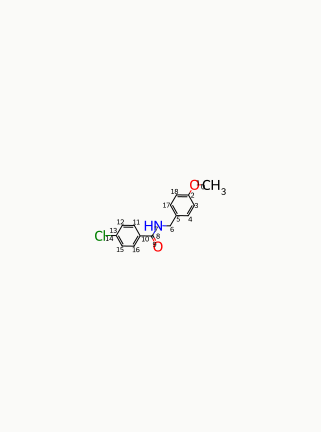 COc1ccc(CNC(=O)c2ccc(Cl)cc2)cc1